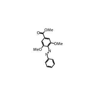 COC(=O)c1cc(OC)c(N=Nc2ccccc2)c(OC)c1